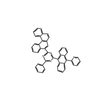 c1ccc(-c2nc(-c3c4ccccc4c(-c4ccccn4)c4ccccc34)nc(-c3cc4ccc5ccccc5c4c4ccccc34)n2)cc1